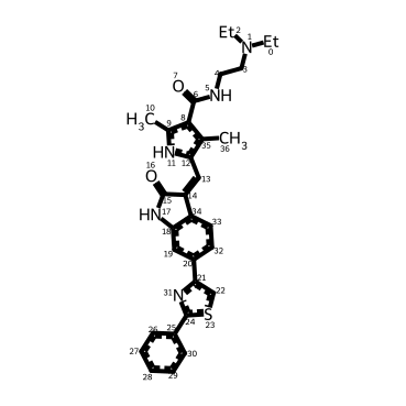 CCN(CC)CCNC(=O)c1c(C)[nH]c(/C=C2\C(=O)Nc3cc(-c4csc(-c5ccccc5)n4)ccc32)c1C